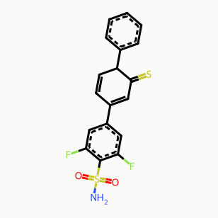 NS(=O)(=O)c1c(F)cc(C2=CC(=S)C(c3ccccc3)C=C2)cc1F